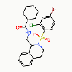 O=C(NCC1c2ccccc2CCN1S(=O)(=O)c1ccc(Br)cc1Cl)C1CCCCC1